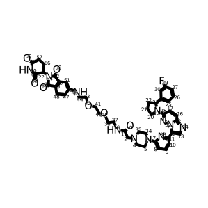 O=C(CN1CCN(c2cccc(-c3cnc4ccc(N5CCCC5c5cccc(F)c5)nn34)n2)CC1)NCCOCCOCCNc1ccc2c(c1)C(=O)N(C1CCC(=O)NC1=O)C2=O